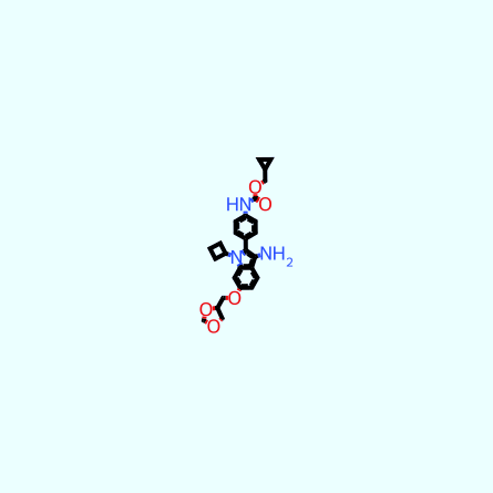 Nc1c(-c2ccc(NC(=O)OCC3CC3)cc2)n(C2CCC2)c2cc(OCC3COCO3)ccc12